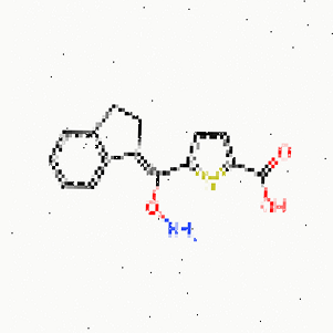 NOC(=C1CCc2ccccc21)c1ccc(C(=O)O)s1